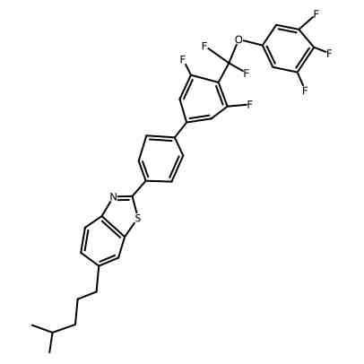 CC(C)CCCc1ccc2nc(-c3ccc(-c4cc(F)c(C(F)(F)Oc5cc(F)c(F)c(F)c5)c(F)c4)cc3)sc2c1